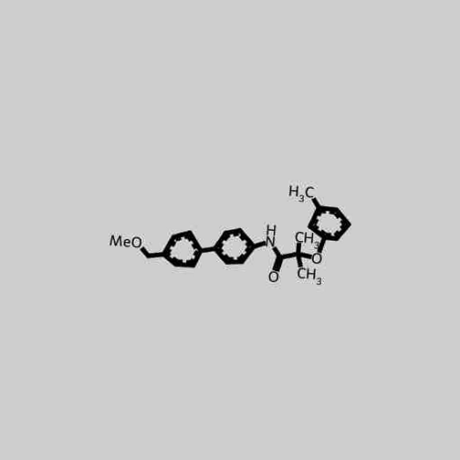 COCc1ccc(-c2ccc(NC(=O)C(C)(C)Oc3cccc(C)c3)cc2)cc1